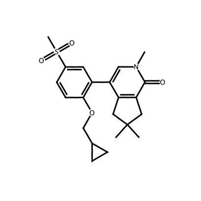 Cn1cc(-c2cc(S(C)(=O)=O)ccc2OCC2CC2)c2c(c1=O)CC(C)(C)C2